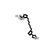 N=C(N)c1cccc(CCCCCCCc2cccc(C3CCNC3)c2)c1